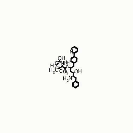 CC(C)(C)C(NC(=O)O)C(=O)NC(Cc1ccc(-c2ccccn2)cc1)C[C@H](O)[C@@H](N)Cc1ccccc1